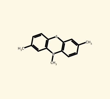 Cc1ccc2c(c1)Sc1ccc(C)cc1N2C